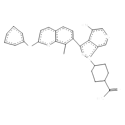 NC(=O)C1CCC(n2nc(-c3ccc4ccc(Oc5ccccc5)nc4c3F)c3c(N)cncc32)CC1